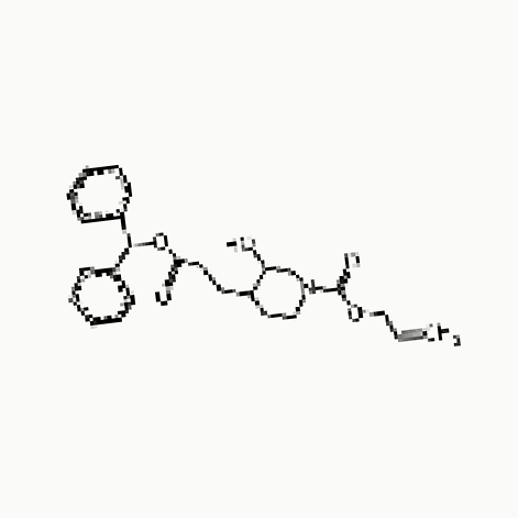 C=CCOC(=O)N1CCC(CCC(=O)OC(c2ccccc2)c2ccccc2)C(O)C1